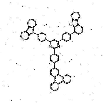 c1ccc2c(c1)oc1c(-c3ccc(-c4cc(-c5ccc(-n6c7ccccc7c7ccccc76)cc5)nc(-c5ccc(-c6ccc7c8ccccc8c8ccccc8c7c6)cc5)n4)cc3)cccc12